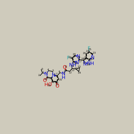 CC(C)N1CCn2c(CNC(=O)CC(Nc3nc(-c4n[nH]c5ncc(F)cc45)ncc3F)C3CC3)cc(=O)c(O)c2C1=O